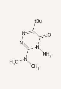 CN(C)c1nnc(C(C)(C)C)c(=O)n1N